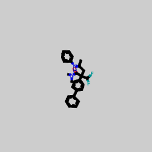 CC(CC(C(=O)N(C)C)(c1ccc(-c2ccccc2)cc1)C(F)F)Nc1ccccc1